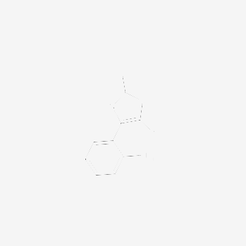 CC(=O)c1sc(Br)nc1-c1ccccc1C